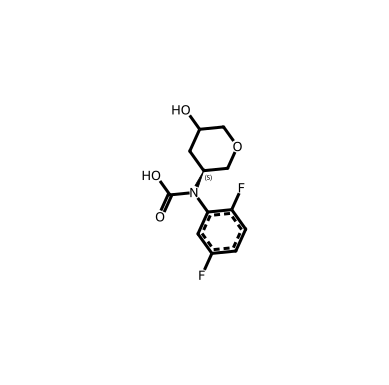 O=C(O)N(c1cc(F)ccc1F)[C@@H]1COCC(O)C1